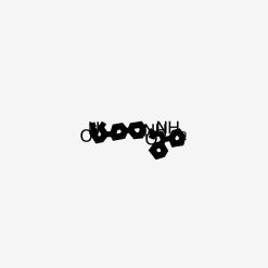 Cc1c(-c2ccc(-c3ccc(NC(=O)[C@@H](N)C(c4ccccc4)c4ccccc4)cc3)cc2)ccc(=O)n1C